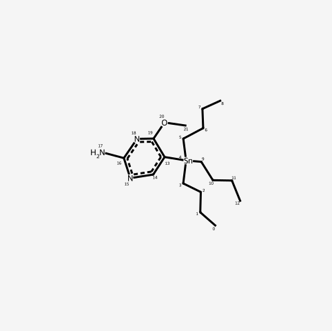 CCC[CH2][Sn]([CH2]CCC)([CH2]CCC)[c]1cnc(N)nc1OC